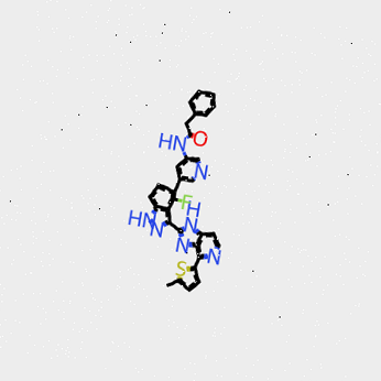 Cc1ccc(-c2nccc3[nH]c(-c4n[nH]c5ccc(-c6cncc(NC(=O)Cc7ccccc7)c6)c(F)c45)nc23)s1